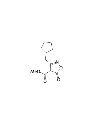 COC(=O)C1C(=O)ON=C1CC1CCCC1